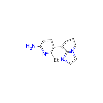 CCc1nc(N)ccc1-c1cccn2ccnc12